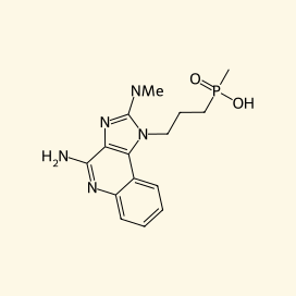 CNc1nc2c(N)nc3ccccc3c2n1CCCP(C)(=O)O